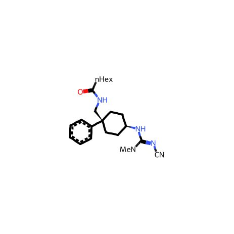 CCCCCCC(=O)NC[C@]1(c2ccccc2)CC[C@H](N/C(=N/C#N)NC)CC1